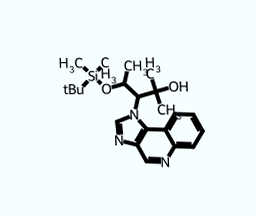 CC(O[Si](C)(C)C(C)(C)C)C(n1cnc2cnc3ccccc3c21)C(C)(C)O